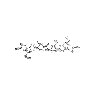 CC(C)(C)OC(=O)N=C(NC(=O)OC(C)(C)C)N1CC=C(c2ccc(C(=O)Nc3ccc(C4=CCN(C(=NC(=O)OC(C)(C)C)NC(=O)OC(C)(C)C)CC4)c(OC(F)(F)F)c3)cc2F)CC1